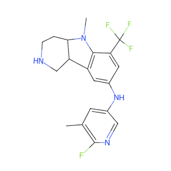 Cc1cc(Nc2cc3c(c(C(F)(F)F)c2)N(C)C2CCNCC32)cnc1F